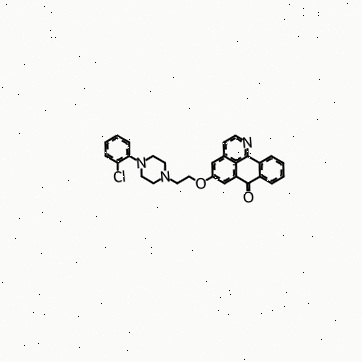 O=C1c2ccccc2-c2nccc3cc(OCCN4CCN(c5ccccc5Cl)CC4)cc1c23